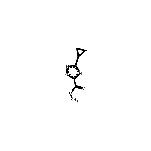 COC(=O)c1nc(C2CC2)no1